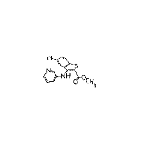 COC(=O)c1sc2ccc(Cl)cc2c1Nc1cccnc1